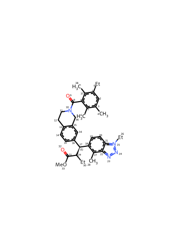 CCc1cc(C)c(C)c(C(=O)N2CCc3ccc([C@@H](c4ccc5c(nnn5CC)c4C)C(CC)C(=O)OC)cc3C2)c1C